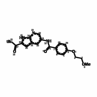 COCCOc1ccc(C(=O)Nc2cnc3[nH]c(C(=O)C(C)(C)C)cc3c2)cc1